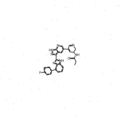 CCC(=O)NC1C=C(c2cnc3[nH]nc(-c4nc5c(-c6ccc(F)cc6)cccc5[nH]4)c3c2)C=NC1